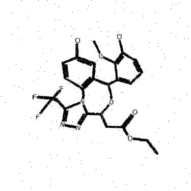 CCOC(=O)CC1OC(c2cccc(Cl)c2OC)c2cc(Cl)ccc2-n2c1nnc2C(F)(F)F